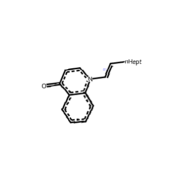 CCCCCCC/C=C/n1ccc(=O)c2ccccc21